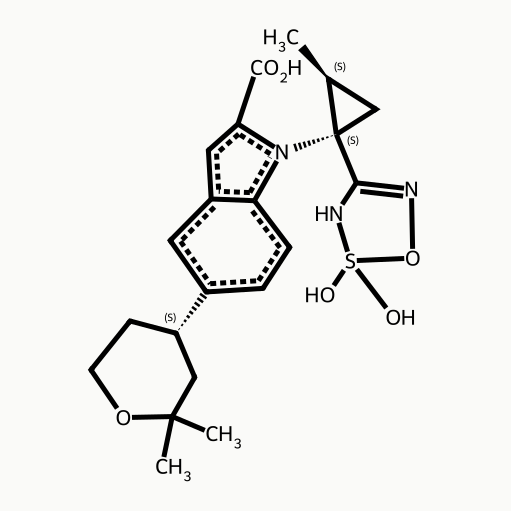 C[C@H]1C[C@]1(C1=NOS(O)(O)N1)n1c(C(=O)O)cc2cc([C@H]3CCOC(C)(C)C3)ccc21